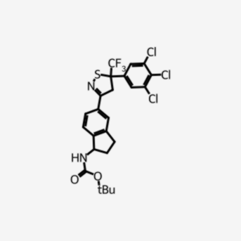 CC(C)(C)OC(=O)NC1CCc2cc(C3=NSC(c4cc(Cl)c(Cl)c(Cl)c4)(C(F)(F)F)C3)ccc21